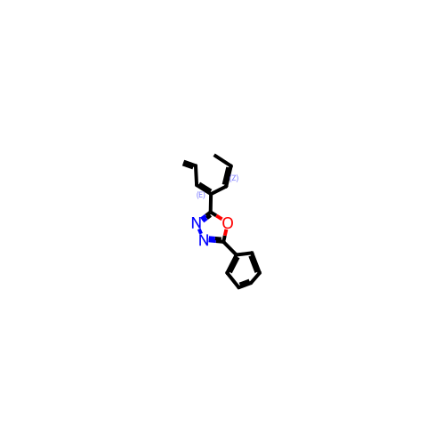 C=C/C=C(\C=C/C)c1nnc(-c2ccccc2)o1